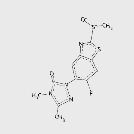 Cc1nn(-c2cc3nc([S+](C)[O-])sc3cc2F)c(=O)n1C